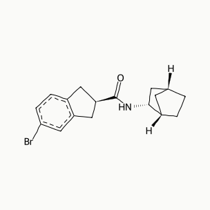 O=C(N[C@@H]1C[C@@H]2CC[C@H]1C2)[C@@H]1Cc2ccc(Br)cc2C1